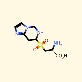 N[C@@H](CS(=O)(=O)C1Cc2nccn2CN1)C(=O)O